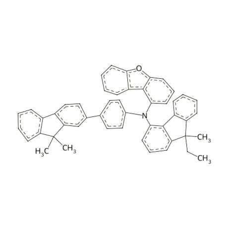 CCC1(C)c2ccccc2-c2c(N(c3ccc(-c4ccc5c(c4)C(C)(C)c4ccccc4-5)cc3)c3cccc4oc5ccccc5c34)cccc21